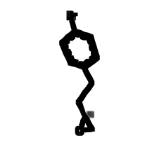 Brc1ccc(CC[C@H]2CO2)cc1